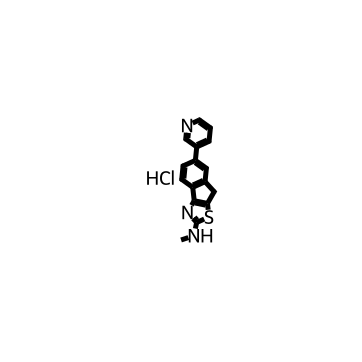 CNc1nc2c(s1)Cc1cc(-c3cccnc3)ccc1-2.Cl